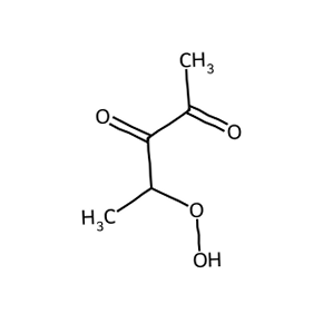 CC(=O)C(=O)C(C)OO